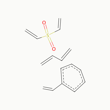 C=CC=C.C=CS(=O)(=O)C=C.C=Cc1ccccc1